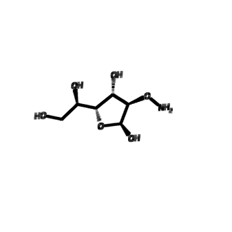 NO[C@@H]1[C@@H](O)[C@@H]([C@H](O)CO)O[C@@H]1O